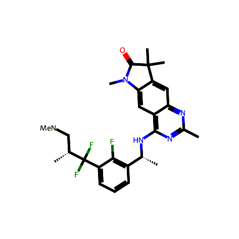 CNC[C@@H](C)C(F)(F)c1cccc([C@@H](C)Nc2nc(C)nc3cc4c(cc23)N(C)C(=O)C4(C)C)c1F